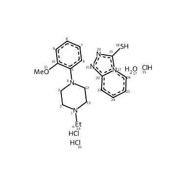 CCN1CCN(c2ccccc2OC)CC1.Cl.Cl.Cl.O.Sc1nnc2ccccn12